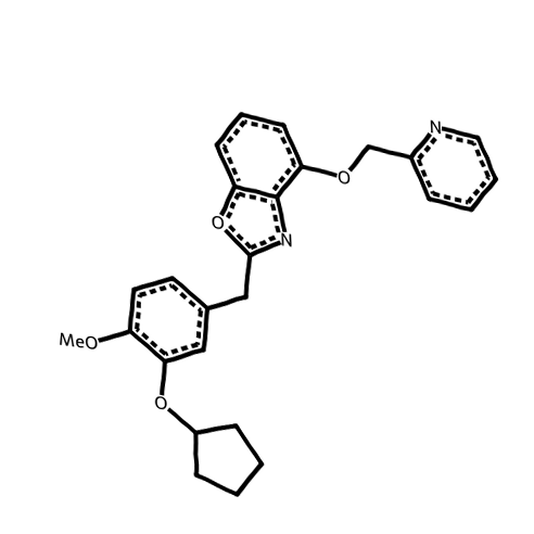 COc1ccc(Cc2nc3c(OCc4ccccn4)cccc3o2)cc1OC1CCCC1